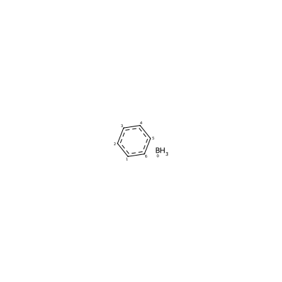 B.c1ccccc1